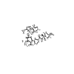 CN(Cc1ccc(C(=O)NS(=O)(=O)c2ccc(C(C)(C)C)cc2)cc1)c1ccc(OCc2c(-c3c(Cl)cccc3Cl)noc2C2CC2)nc1C(F)(F)F